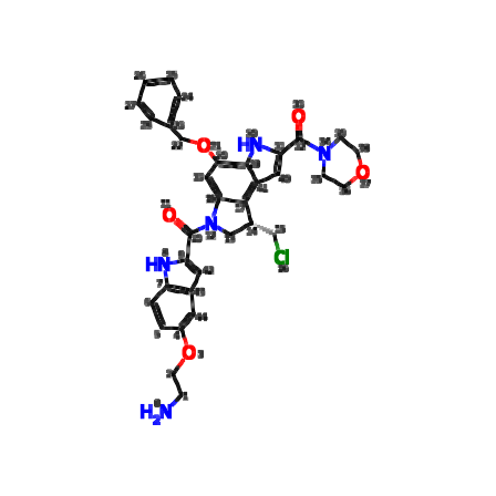 NCCOc1ccc2[nH]c(C(=O)N3C[C@@H](CCl)c4c3cc(OCc3ccccc3)c3[nH]c(C(=O)N5CCOCC5)cc43)cc2c1